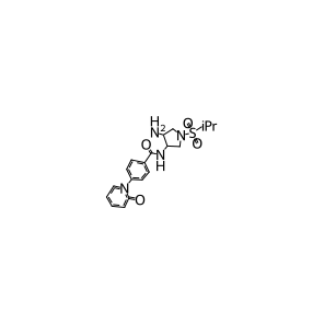 CC(C)S(=O)(=O)N1CC(N)C(NC(=O)c2ccc(-n3ccccc3=O)cc2)C1